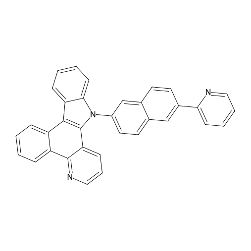 c1ccc(-c2ccc3cc(-n4c5ccccc5c5c6ccccc6c6ncccc6c54)ccc3c2)nc1